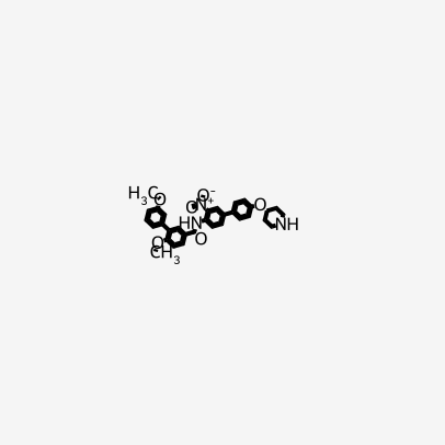 COc1cccc(-c2cc(C(=O)Nc3ccc(-c4ccc(OC5CCNCC5)cc4)cc3[N+](=O)[O-])ccc2OC)c1